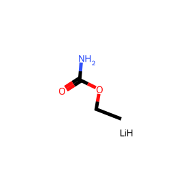 CCOC(N)=O.[LiH]